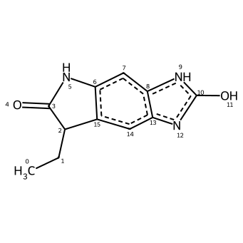 CCC1C(=O)Nc2cc3[nH]c(O)nc3cc21